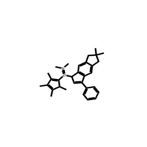 CC1=C(C)C(C)[C]([Zr]([CH]2C=C(c3ccccc3)c3cc4c(cc32)CC(C)(C)C4)=[Si](C)C)=C1C